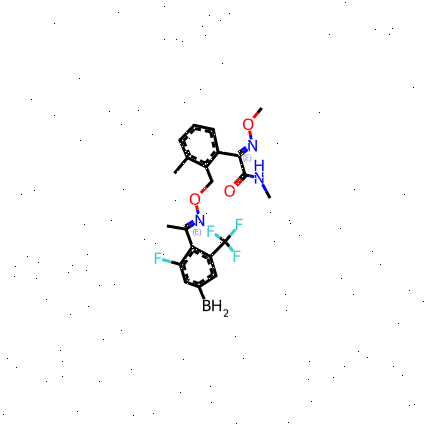 Bc1cc(F)c(/C(C)=N/OCc2c(C)cccc2/C(=N\OC)C(=O)NC)c(C(F)(F)F)c1